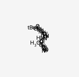 Cc1cc(Nc2ncnc3ccc(N4CCN(C(=O)OC(C)(C)C)CC4)nc23)ccc1Oc1ccn2ncnc2c1